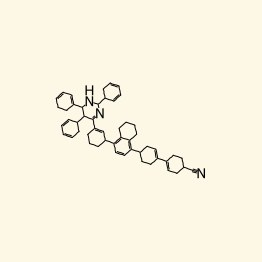 N#CC1CC=C(C2=CCC(c3ccc(C4C=C(C5=NC(C6C=CC=CC6)NC(C6=CC=CCC6)C5C5C=CC=CC5)CCC4)c4c3CCCC4)CC2)CC1